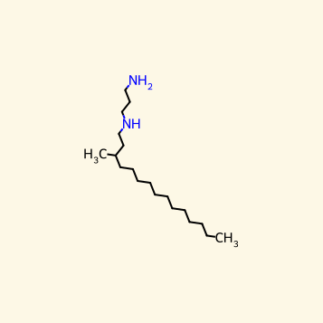 CCCCCCCCCCCCC(C)CCNCCCN